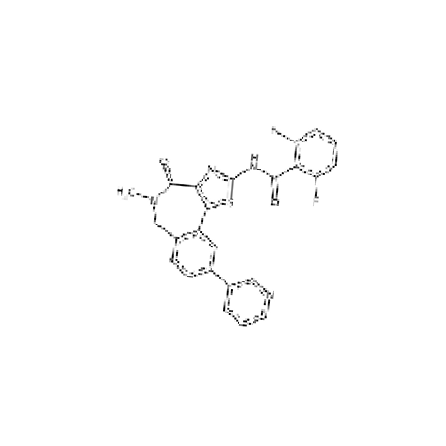 CN1Cc2ccc(-c3cccnc3)cc2-c2sc(NC(=O)c3c(F)cccc3F)nc2C1=O